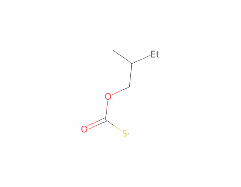 CCC(C)COC(=O)[S]